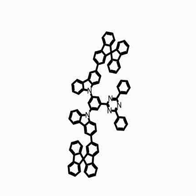 c1ccc(-c2nc(-c3ccccc3)nc(-c3cc(-n4c5ccccc5c5cc(-c6ccc7c(c6)C6(c8ccccc8-c8ccccc86)c6ccccc6-7)ccc54)cc(-n4c5ccccc5c5cc(-c6ccc7c(c6)C6(c8ccccc8-c8ccccc86)c6ccccc6-7)ccc54)c3)n2)cc1